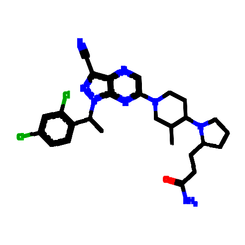 CC1CN(c2cnc3c(C#N)nn(C(C)c4ccc(Cl)cc4Cl)c3n2)CCC1N1CCCC1CCC(N)=O